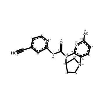 C#Cc1ccnc(NC(=O)N2c3nc(C(C)=O)ccc3N3CCC2C3)c1